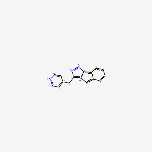 C1=c2ccccc2=C2N=NC(Cc3ccncc3)=C12